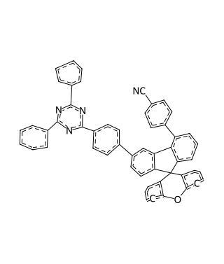 N#Cc1ccc(-c2cccc3c2-c2cc(-c4ccc(-c5nc(-c6ccccc6)nc(-c6ccccc6)n5)cc4)ccc2C32c3ccccc3Oc3ccccc32)cc1